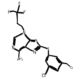 Nc1ncn(CCC(F)(F)F)c2nc(Sc3cc(Cl)cc(Cl)c3)nc1-2